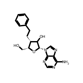 Nc1ncnc2c1ncn2[C@@H]1O[C@H](CO)[C@H](CCc2ccccc2)C1O